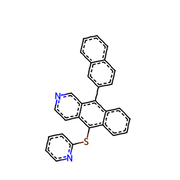 c1ccc(Sc2c3ccccc3c(-c3ccc4ccccc4c3)c3cnccc23)nc1